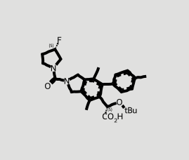 Cc1ccc(-c2c(C)c3c(c(C)c2[C@H](OC(C)(C)C)C(=O)O)CN(C(=O)N2CC[C@H](F)C2)C3)cc1